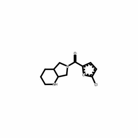 O=C(c1ccc(Cl)o1)N1CC2CCCNC2C1